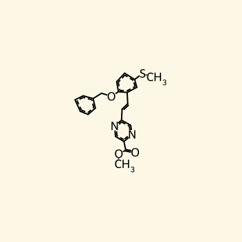 COC(=O)c1cnc(C=Cc2cc(SC)ccc2OCc2ccccc2)cn1